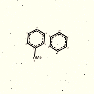 COc1ccccc1.c1ccccc1